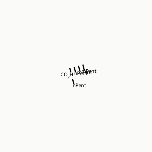 CC(=O)O.CCCCCC.CCCCCC.CCCCCC.CCCCCC